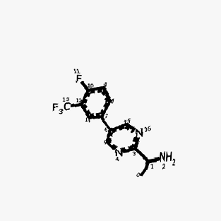 CC(N)c1ncc(-c2ccc(F)c(C(F)(F)F)c2)cn1